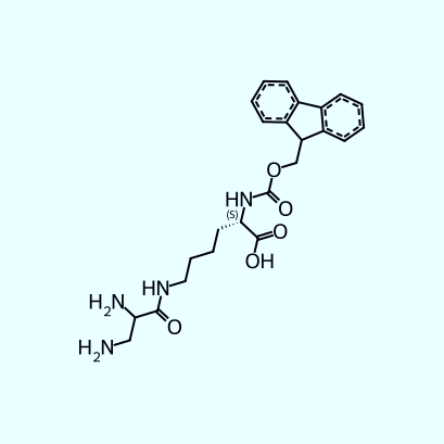 NCC(N)C(=O)NCCCC[C@H](NC(=O)OCC1c2ccccc2-c2ccccc21)C(=O)O